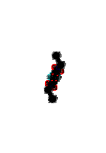 O=C1c2ccc(C(c3ccc4c(c3)C(=O)N(c3cccc(C#Cc5ccccc5)c3)C4=O)(C(F)(F)F)C(F)(F)F)cc2C(=O)N1c1cccc(C#Cc2ccccc2)c1